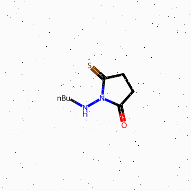 CCCCNN1C(=O)CCC1=S